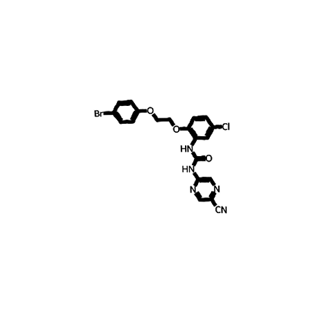 N#Cc1cnc(NC(=O)Nc2cc(Cl)ccc2OCCOc2ccc(Br)cc2)cn1